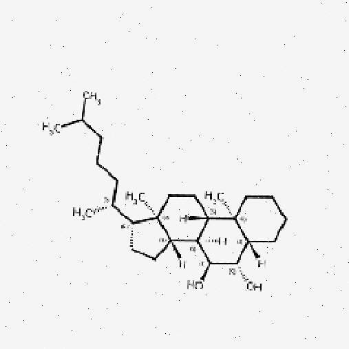 CC(C)CCC[C@@H](C)[C@H]1CC[C@H]2[C@@H]3[C@H](O)[C@@H](O)[C@H]4CCCC[C@]4(C)[C@H]3CC[C@]12C